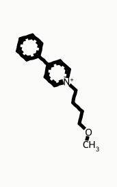 COCCCC[n+]1ccc(-c2ccccc2)cc1